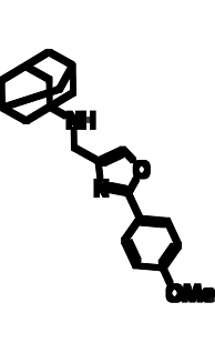 COc1ccc(-c2nc(CNC34CC5CC(CC(C5)C3)C4)co2)cc1